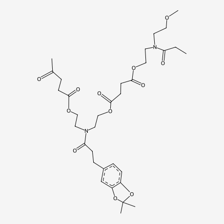 CCC(=O)N(CCOC)CCOC(=O)CCC(=O)OCCN(CCOC(=O)CCC(C)=O)C(=O)CCc1ccc2c(c1)OC(C)(C)O2